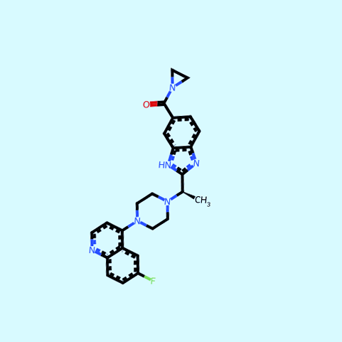 C[C@H](c1nc2ccc(C(=O)N3CC3)cc2[nH]1)N1CCN(c2ccnc3ccc(F)cc23)CC1